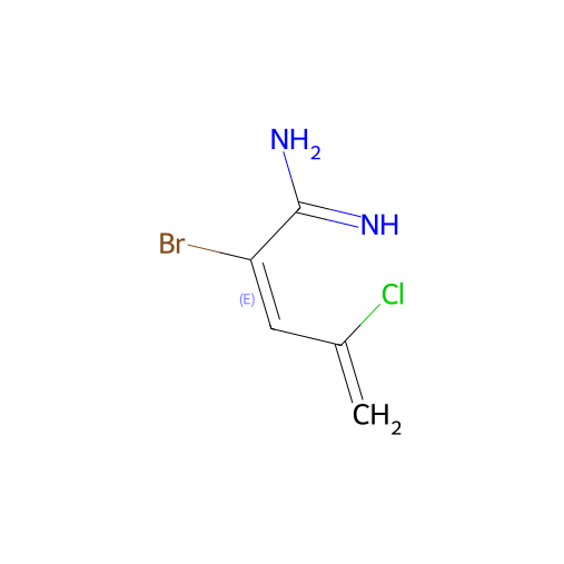 C=C(Cl)/C=C(/Br)C(=N)N